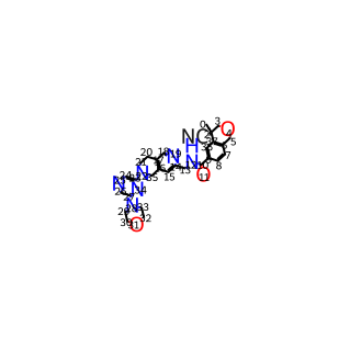 C[C@@]1(C#N)COCc2ccc(C(=O)NCc3cc4c(cn3)CCN(c3cncc(N5CCOCC5)n3)C4)cc21